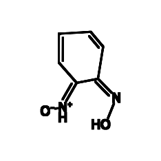 [O-]/[NH+]=C1\C=CC=C\C1=N\O